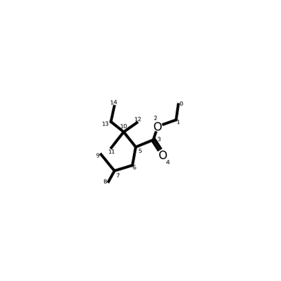 CCOC(=O)C(CC(C)C)C(C)(C)CC